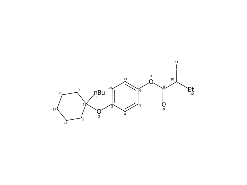 CCCCC1(Oc2ccc(OC(=O)C(I)CC)cc2)CCCCC1